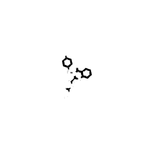 C[C@H](NC(=O)OC(C)(C)C)c1nc2ccccc2c(=O)n1Nc1ccc(F)cc1